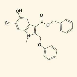 Cn1c(COc2ccccc2)c(C(=O)OCc2ccccc2)c2cc(O)c(Br)cc21